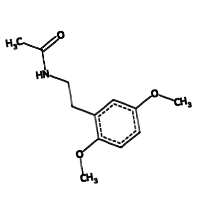 COc1ccc(OC)c(CCNC(C)=O)c1